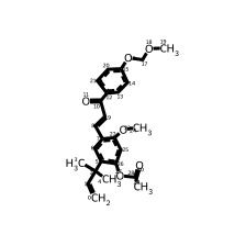 C=CC(C)(C)c1cc(C=CC(=O)c2ccc(OCOC)cc2)c(OC)cc1OC(C)=O